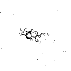 CCOC(=O)C(C)n1ncc(Cl)c(C)c1=O